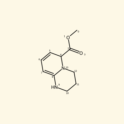 COC(=O)C1C=CC=C2NCCCN21